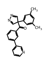 Cc1cc(C)cc(C2(C(=O)c3cccc(-c4cccnc4)c3)C=NN=C2)c1